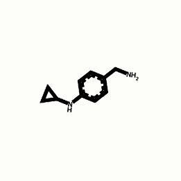 NCc1ccc(NC2CC2)cc1